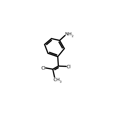 CC(Cl)=C(Cl)c1cccc(N)c1